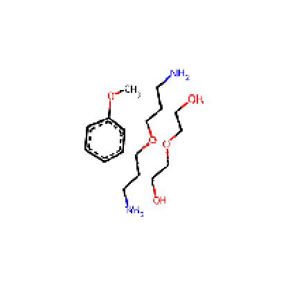 COc1ccccc1.NCCCOCCCN.OCCOCCO